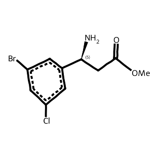 COC(=O)C[C@H](N)c1cc(Cl)cc(Br)c1